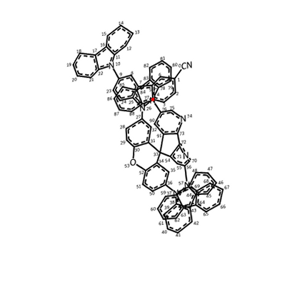 N#Cc1ccc2c(c1)c1cc(-n3c4ccccc4c4ccccc43)ccc1n2-c1ccc2c(c1)C1(c3cc(-n4c5ccccc5c5ccccc54)ccc3O2)c2cc(-n3c4ccccc4c4ccccc43)cnc2-c2ncc(-n3c4ccccc4c4ccccc43)cc21